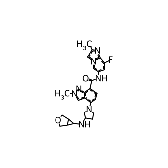 Cc1cn2cc(NC(=O)c3ccc(N4CCC(NC5C6COCC65)C4)c4cn(C)nc34)cc(F)c2n1